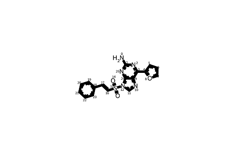 Nc1nc(-c2ccco2)c2ncn(S(=O)(=O)C=Cc3ccccc3)c2n1